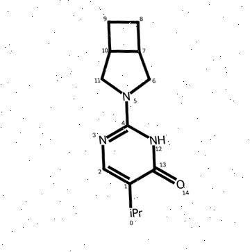 CC(C)c1cnc(N2CC3CCC3C2)[nH]c1=O